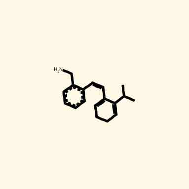 CC(C)C1=CCCC=C1/C=C\c1ccccc1CN